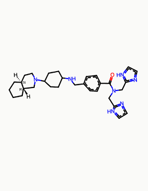 O=C(c1ccc(CNC2CCC(N3CC[C@@H]4CCCC[C@H]4C3)CC2)cc1)N(Cc1ncc[nH]1)Cc1ncc[nH]1